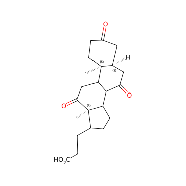 C[C@]12C(=O)CC3C(C(=O)C[C@@H]4CC(=O)CC[C@]34C)C1CCC2CCC(=O)O